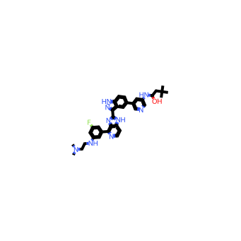 CN(C)CCNc1cc(F)cc(-c2nccc3[nH]c(-c4n[nH]c5ccc(-c6cncc(NC(O)CC(C)(C)C)c6)cc45)nc23)c1